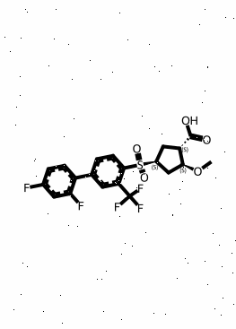 CO[C@H]1C[C@@H](S(=O)(=O)c2ccc(-c3ccc(F)cc3F)cc2C(F)(F)F)C[C@@H]1C(=O)O